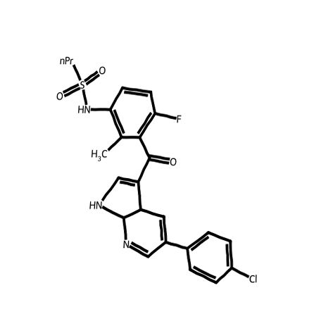 CCCS(=O)(=O)Nc1ccc(F)c(C(=O)C2=CNC3N=CC(c4ccc(Cl)cc4)=CC23)c1C